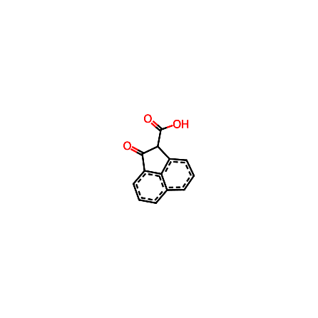 O=C(O)C1C(=O)c2cccc3cccc1c23